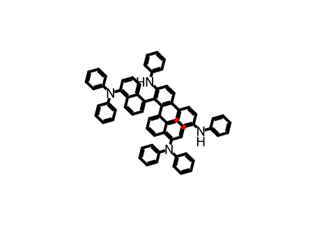 c1ccc(Nc2ccc(-c3ccc(Nc4ccccc4)c(-c4cccc5c(N(c6ccccc6)c6ccccc6)cccc45)c3-c3cccc4c(N(c5ccccc5)c5ccccc5)cccc34)cc2)cc1